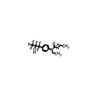 CCNC(=O)N(CC)c1ccc(C(F)(F)C(O)(F)C(F)(F)F)cc1